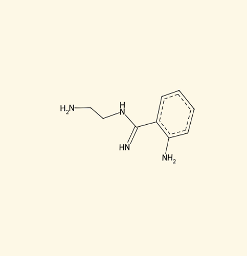 N=C(NCCN)c1ccccc1N